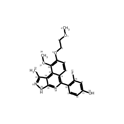 COCCOc1ccc2c(-c3ccc(O)cc3F)nc3[nH]nc(C)c3c2c1OC